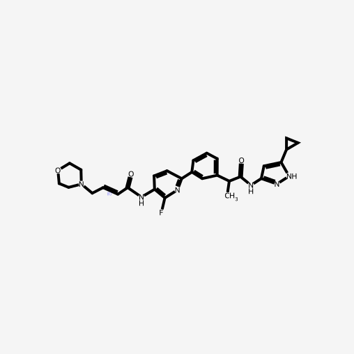 CC(C(=O)Nc1cc(C2CC2)[nH]n1)c1cccc(-c2ccc(NC(=O)/C=C/CN3CCOCC3)c(F)n2)c1